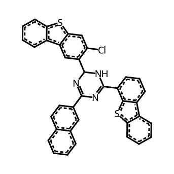 Clc1cc2sc3ccccc3c2cc1C1N=C(c2ccc3ccccc3c2)N=C(c2cccc3c2sc2ccccc23)N1